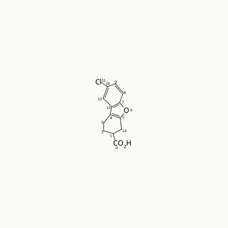 O=C(O)C1CCc2c(oc3ccc(Cl)cc23)C1